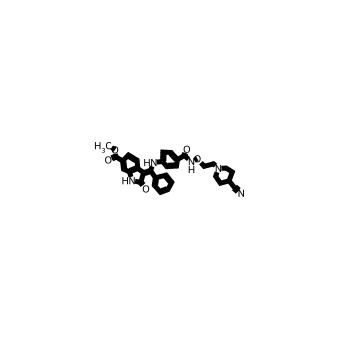 COC(=O)c1ccc2c(c1)NC(=O)C2=C(Nc1ccc(C(=O)NOCCN2CCC(C#N)CC2)cc1)c1ccccc1